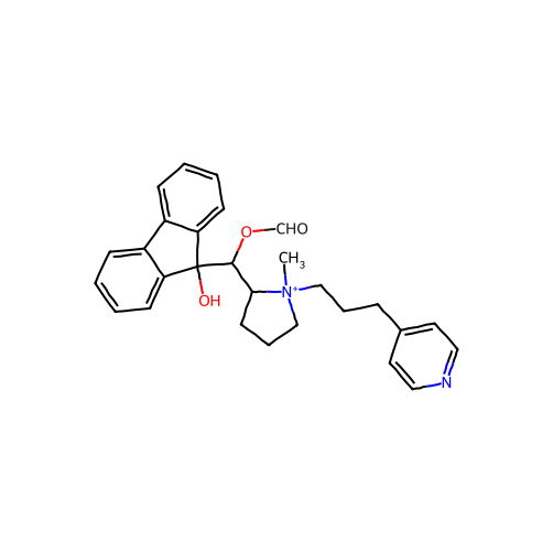 C[N+]1(CCCc2ccncc2)CCCC1C(OC=O)C1(O)c2ccccc2-c2ccccc21